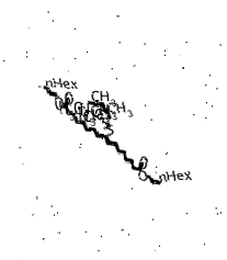 CCCCCC/C=C\COC(=O)CCCCCCCC(CCCCCCCC(=O)OC/C=C\CCCCCC)SSCC(C)(C)CC(C)(C)CN(C)C